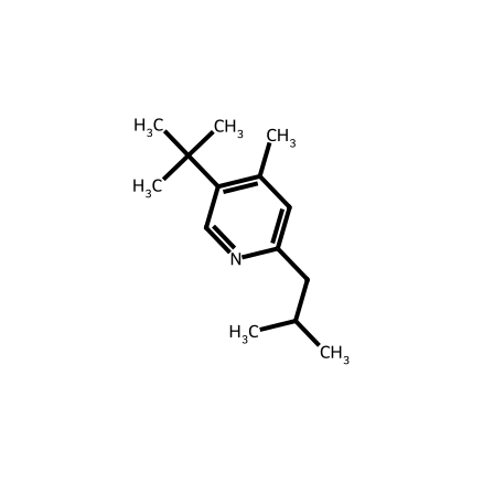 Cc1cc(CC(C)C)ncc1C(C)(C)C